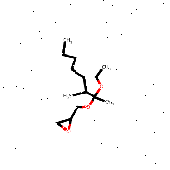 CCCCCC([SiH3])C(C)(OCC)OCC1CO1